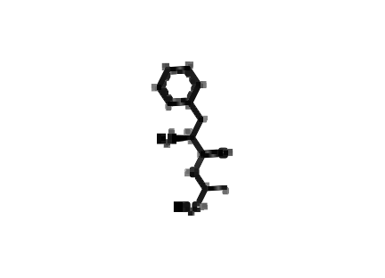 CC(OC(=O)[C@@H](N)Cc1ccccc1)C(=O)O